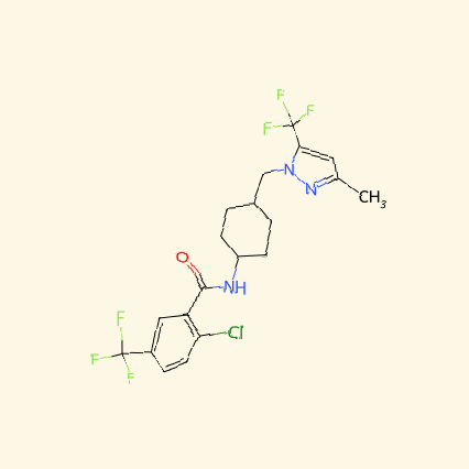 Cc1cc(C(F)(F)F)n(CC2CCC(NC(=O)c3cc(C(F)(F)F)ccc3Cl)CC2)n1